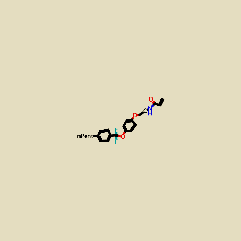 C=CC(=O)NCCOc1ccc(OC(F)(F)c2ccc(CCCCC)cc2)cc1